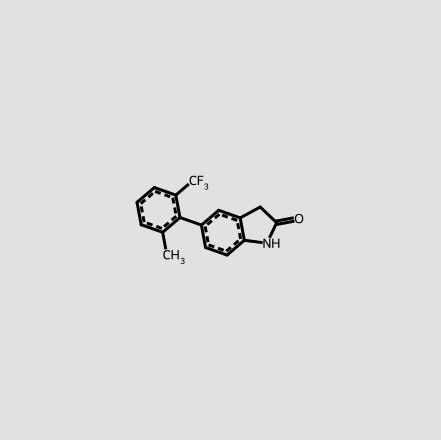 Cc1cccc(C(F)(F)F)c1-c1ccc2c(c1)CC(=O)N2